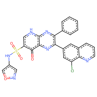 O=c1c(S(=O)(=O)Nc2cnoc2)c[nH]c2nc(-c3ccccc3)c(-c3cc(Cl)c4ncccc4c3)nc12